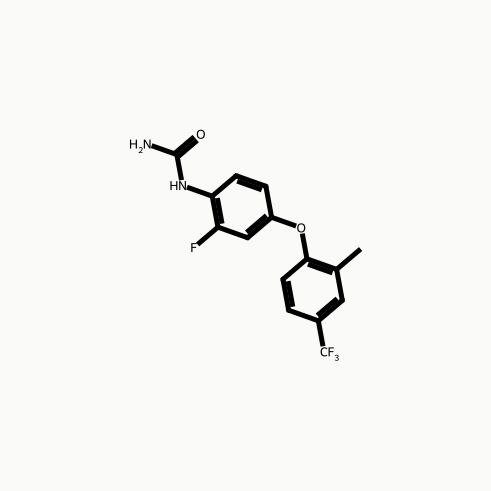 Cc1cc(C(F)(F)F)ccc1Oc1ccc(NC(N)=O)c(F)c1